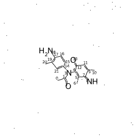 CC(=O)N(C1=C(C)C(=N)C(C)=CC1=O)c1ccc(N)c(C)c1